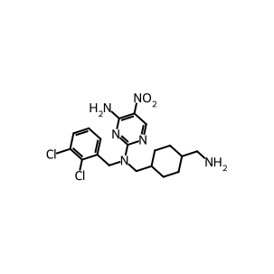 NCC1CCC(CN(Cc2cccc(Cl)c2Cl)c2ncc([N+](=O)[O-])c(N)n2)CC1